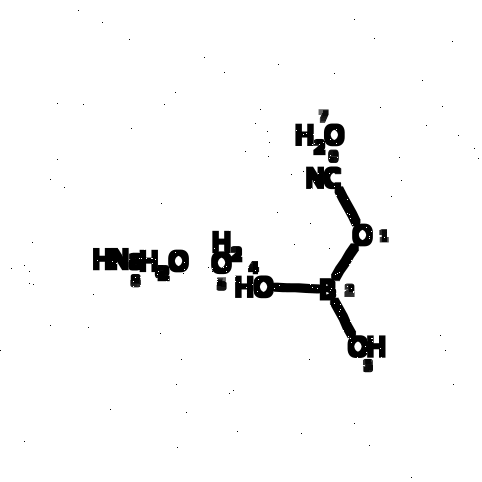 N#COB(O)O.O.O.O.[NaH]